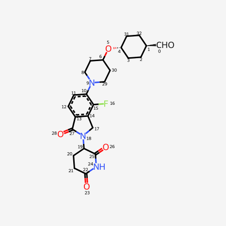 O=C[C@H]1CC[C@H](OC2CCN(c3ccc4c(c3F)CN(C3CCC(=O)NC3=O)C4=O)CC2)CC1